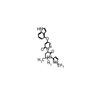 CC(C)CC(C(=O)Nc1ccn(C)n1)n1ncc(Oc2cccc3[nH]ccc23)cc1=O